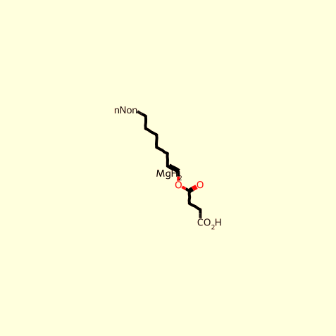 CCCCCCCCCCCCCCC=COC(=O)CCC(=O)O.[MgH2]